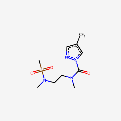 CN(CCN(C)S(C)(=O)=O)C(=O)n1cc(C(F)(F)F)cn1